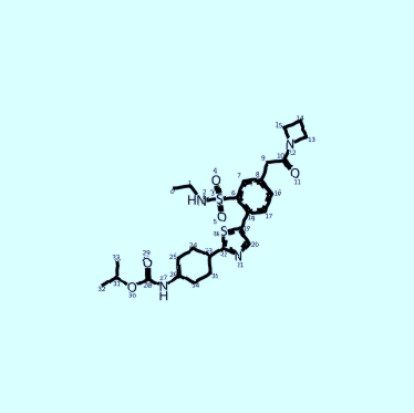 CCNS(=O)(=O)c1cc(CC(=O)N2CCC2)ccc1-c1cnc(C2CCC(NC(=O)OC(C)C)CC2)s1